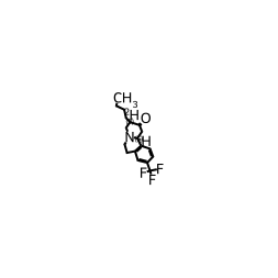 [2H][C@]1(CCCC)CN2CCc3cc(C(F)(F)F)ccc3[C@@H]2CC1=O